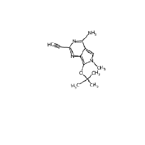 C#Cc1nc(N)c2cn(C)c(OC(C)(C)C)c2n1